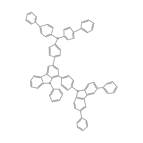 c1ccc(-c2ccc(N(c3ccc(-c4ccccc4)cc3)c3ccc(-c4cc(-c5ccc(-n6c7ccc(-c8ccccc8)cc7c7cc(-c8ccccc8)ccc76)cc5)c5c(c4)c4ccccc4n5-c4ccccc4)cc3)cc2)cc1